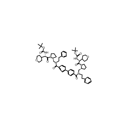 CC(C)(C)OC(=O)N[C@H](C(=O)N1CCC[C@H]1CN(CCc1ccccc1)C(=O)c1ccc(-c2ccc(C(=O)N(CCc3ccccc3)C[C@@H]3CCCN3C(=O)[C@@H](NC(=O)OC(C)(C)C)C3CCOCC3)cc2)cc1)C1CCOCC1